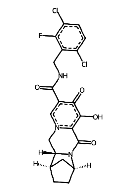 O=C(NCc1c(Cl)ccc(Cl)c1F)c1cn2c(c(O)c1=O)C(=O)N1[C@H]3CC[C@H](C3)[C@@H]1C2